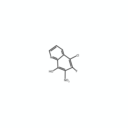 O=[N+]([O-])c1c(F)c(Cl)c2cccnc2c1O